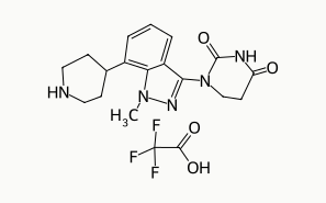 Cn1nc(N2CCC(=O)NC2=O)c2cccc(C3CCNCC3)c21.O=C(O)C(F)(F)F